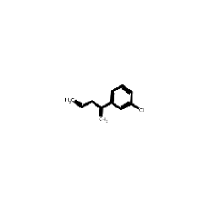 C=CCC(=C)c1cccc(Cl)c1